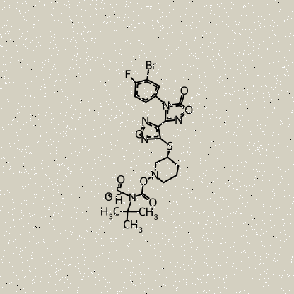 CC(C)(C)N(C(=O)ON1CCC[C@H](Sc2nonc2-c2noc(=O)n2-c2ccc(F)c(Br)c2)C1)[SH](=O)=O